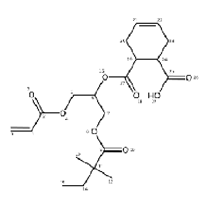 C=CC(=O)OCC(COC(=O)C(C)(C)CC)OC(=O)C1CC=CCC1C(=O)O